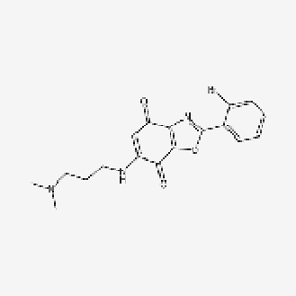 CN(C)CCCNC1=CC(=O)c2nc(-c3ccccc3Br)oc2C1=O